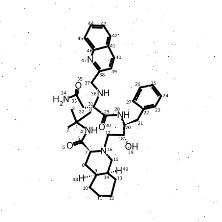 CC(C)(C)NC(=O)[C@@H]1C[C@@H]2CCCC[C@@H]2CN1C[C@@H](O)[C@H](Cc1ccccc1)NC(=O)[C@H](CC(N)=O)NCc1ccc2ccccc2n1